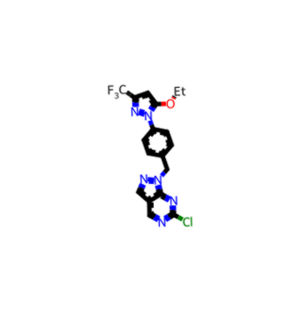 CCOc1cc(C(F)(F)F)nn1-c1ccc(Cn2ncc3cnc(Cl)nc32)cc1